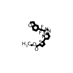 CCOC(=O)c1ccc(-c2ccc3nnc(C(F)(F)c4ccc5occc5c4)n3n2)s1